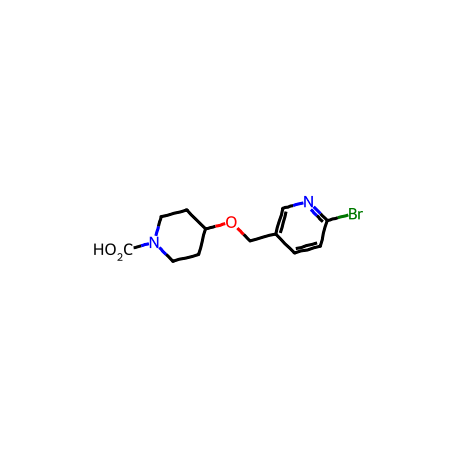 O=C(O)N1CCC(OCc2ccc(Br)nc2)CC1